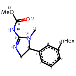 CCCCCCc1cccc(C2CN=C(NC(=O)OC)N2C)c1